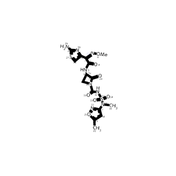 CO/N=C(\C(=O)N[C@H]1CN(C(=O)NS(=O)(=O)N(C)c2cc(C)on2)C1=O)c1csc(N)n1